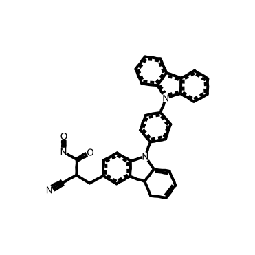 N#CC(Cc1ccc2c(c1)C1CC=CC=C1N2c1ccc(-n2c3ccccc3c3ccccc32)cc1)C(=O)N=O